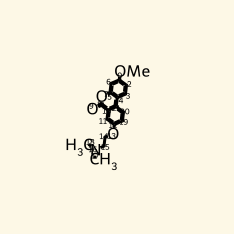 COc1ccc2c(c1)oc(=O)c1cc(OCCN(C)C)ccc12